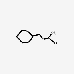 CCN(C)OCC1CCCCO1